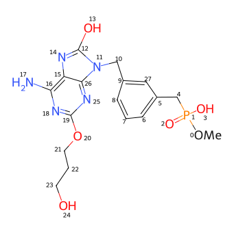 COP(=O)(O)Cc1cccc(Cn2c(O)nc3c(N)nc(OCCCO)nc32)c1